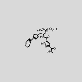 CCOC(=O)[C@H](O)CC(Cc1ccc(-c2ccccc2)cc1)NC(=O)c1cc(C(=O)N(C)C)n[nH]1